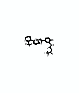 CC(CC(=O)Nc1cc(-c2cn3nc(-c4cccnc4C(F)(F)F)ccc3n2)ccc1Cl)C(F)(F)F